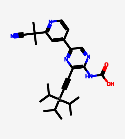 CC(C)[Si](C#Cc1nc(-c2ccnc(C(C)(C)C#N)c2)cnc1NC(=O)O)(C(C)C)C(C)C